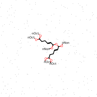 CCCCCCCCCOC(C=CCCC(OCCCCCCCC)OCCCCCCCC)OC(C=CCCC(OCCCCCCCC)OCCCCCCCC)OCCCCCCCCC